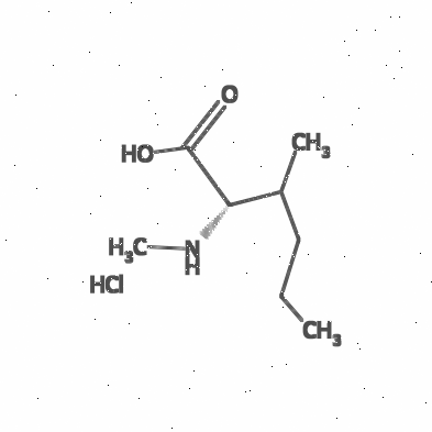 CCCC(C)[C@H](NC)C(=O)O.Cl